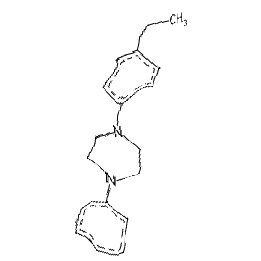 CCc1ccc(N2CCN(c3ccccc3)CC2)cc1